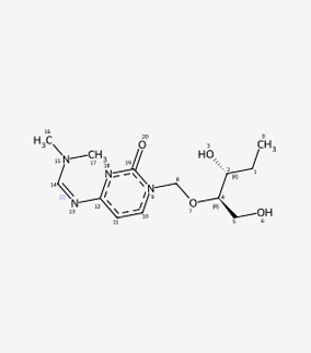 CC[C@@H](O)[C@@H](CO)OCn1ccc(/N=C\N(C)C)nc1=O